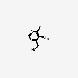 N#CCc1ncnc(F)c1C(F)(F)F